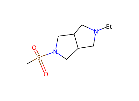 CCN1CC2CN(S(C)(=O)=O)CC2C1